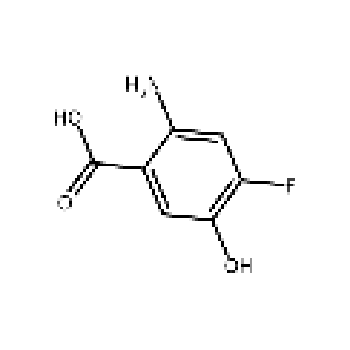 Nc1cc(F)c(O)cc1C(=O)O